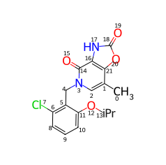 Cc1cn(Cc2c(Cl)cccc2OC(C)C)c(=O)c2[nH]c(=O)oc12